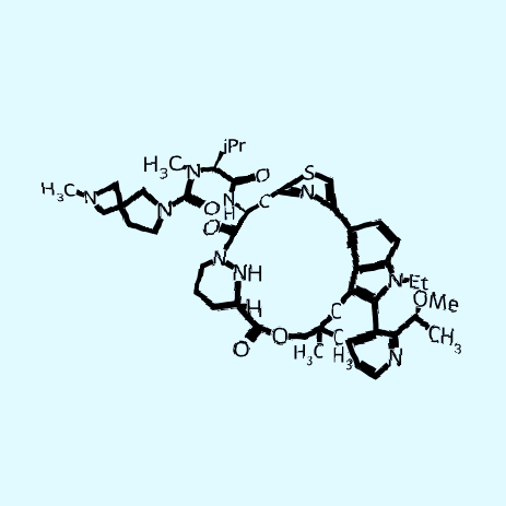 CCn1c(-c2cccnc2[C@H](C)OC)c2c3cc(ccc31)-c1csc(n1)C[C@H](NC(=O)[C@H](C(C)C)N(C)C(=O)N1CCC3(CN(C)C3)C1)C(=O)N1CCC[C@H](N1)C(=O)OCC(C)(C)C2